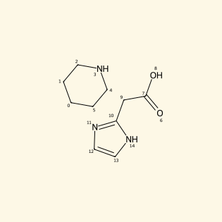 C1CCNCC1.O=C(O)Cc1ncc[nH]1